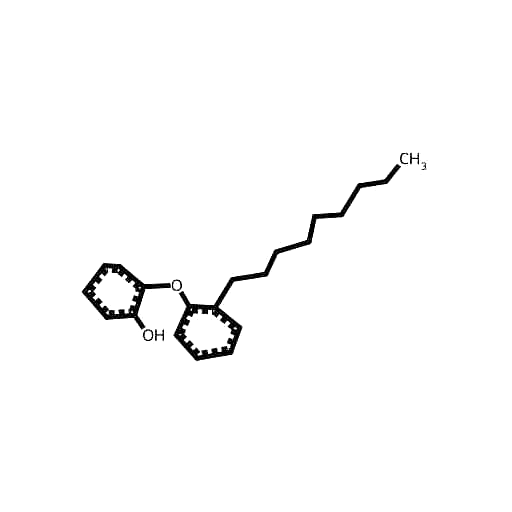 CCCCCCCCCc1ccccc1Oc1ccccc1O